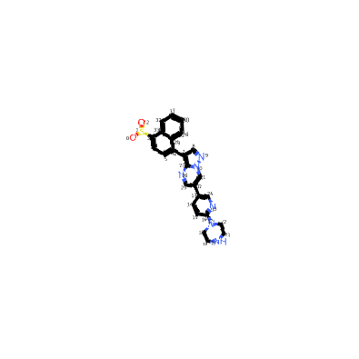 O=[SH](=O)c1ccc(-c2cnn3cc(-c4ccc(N5CCNCC5)nc4)cnc23)c2ccccc12